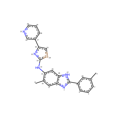 Cc1cccc(-c2nc3cc(C)c(Nc4nc(-c5cccnc5)cs4)cc3[nH]2)c1